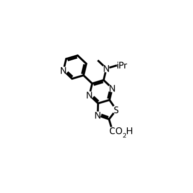 CC(C)N(C)c1nc2sc(C(=O)O)nc2nc1-c1cccnc1